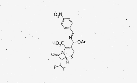 CC(=O)OC(N=Cc1ccc([N+](=O)[O-])cc1)C1=C(C(=O)O)N2C(=O)[C@@H](C(F)F)[C@H]2SC1